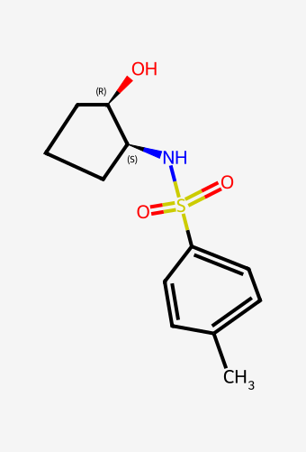 Cc1ccc(S(=O)(=O)N[C@H]2CCC[C@H]2O)cc1